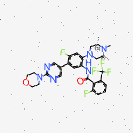 C[C@@H]1CN(c2cc(F)c(-c3cnc(N4CCOCC4)nc3)cc2NC(=O)c2c(F)cccc2C(F)(F)F)C[C@H](C)N1C